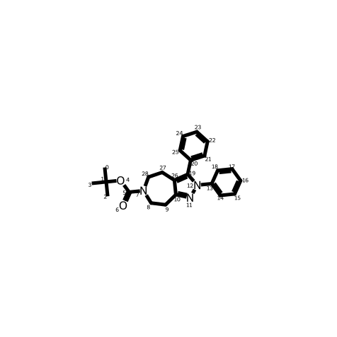 CC(C)(C)OC(=O)N1CCc2nn(-c3ccccc3)c(-c3ccccc3)c2CC1